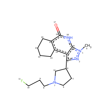 Cn1nc(C2CCN(CCCF)C2)c2c3c(c(=O)[nH]c21)CCCC3